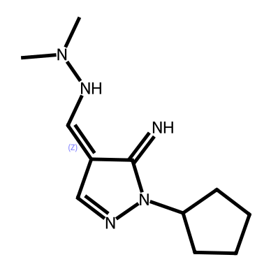 CN(C)N/C=C1/C=NN(C2CCCC2)C1=N